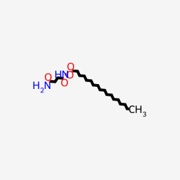 CCCCCCCCCCCCCCCCCC(=O)ONC(=O)CCC(N)=O